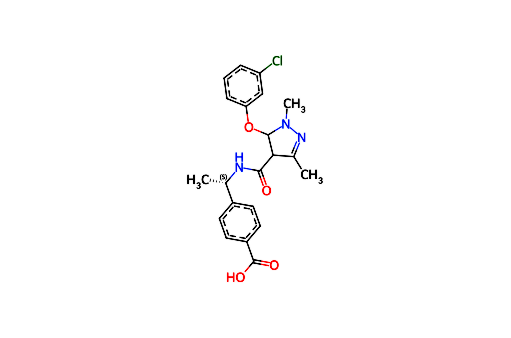 CC1=NN(C)C(Oc2cccc(Cl)c2)C1C(=O)N[C@@H](C)c1ccc(C(=O)O)cc1